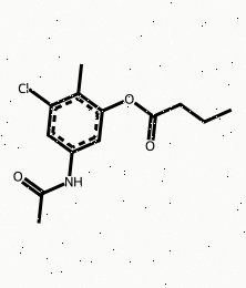 CCCC(=O)Oc1cc(NC(C)=O)cc(Cl)c1C